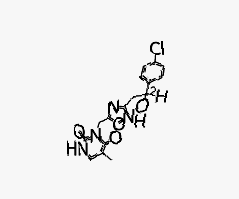 [2H]C(O)(Cc1noc(Cn2c(=O)[nH]cc(C)c2=O)n1)c1ccc(Cl)cc1